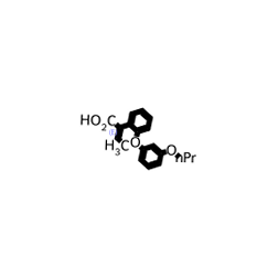 C/C=C(/C(=O)O)c1ccccc1Oc1cccc(OCCC)c1